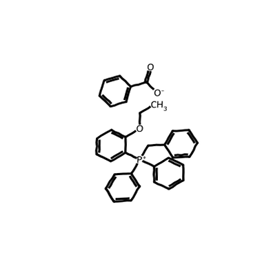 CCOc1ccccc1[P+](Cc1ccccc1)(c1ccccc1)c1ccccc1.O=C([O-])c1ccccc1